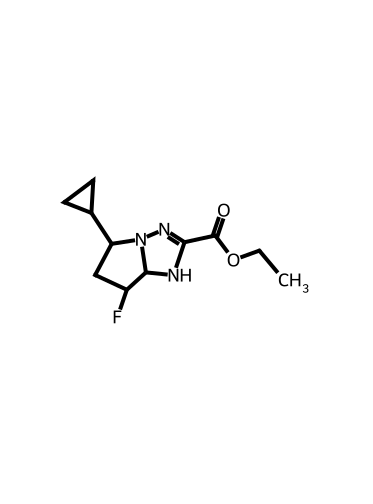 CCOC(=O)C1=NN2C(C3CC3)CC(F)C2N1